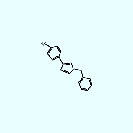 Cc1ccc(-c2cn(Cc3ccccc3)cn2)cc1